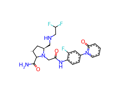 NC(=O)C1[CH]C[C@@H](CNCC(F)F)N1CC(=O)Nc1ccc(-n2ccccc2=O)cc1F